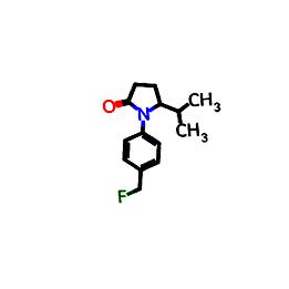 CC(C)C1CCC(=O)N1c1ccc(CF)cc1